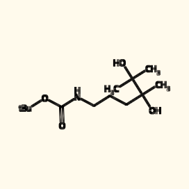 CC(C)(C)OC(=O)NCCCC(C)(O)C(C)(C)O